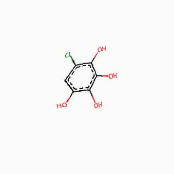 Oc1cc(Cl)c(O)c(O)c1O